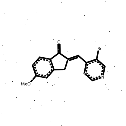 COc1ccc2c(c1)CC(=Cc1ccncc1Br)C2=O